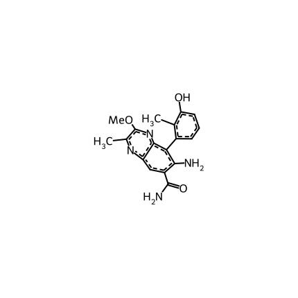 COc1nc2c(-c3cccc(O)c3C)c(N)c(C(N)=O)cc2nc1C